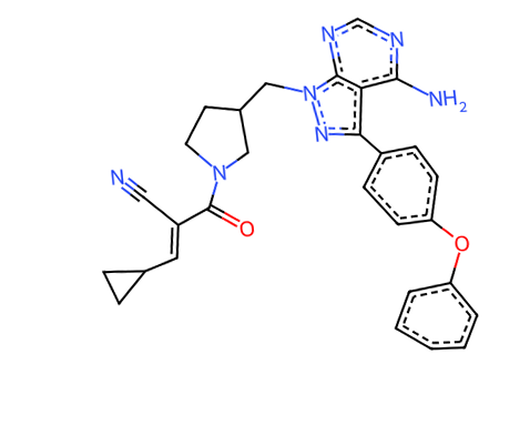 N#CC(=CC1CC1)C(=O)N1CCC(Cn2nc(-c3ccc(Oc4ccccc4)cc3)c3c(N)ncnc32)C1